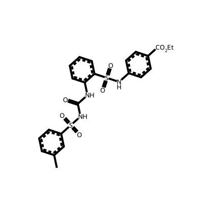 CCOC(=O)c1ccc(NS(=O)(=O)c2ccccc2NC(=O)NS(=O)(=O)c2cccc(C)c2)cc1